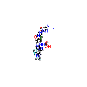 NC1CC(NC(=O)N2CCN(C(=O)c3ccc(Nc4nccn5c(-c6cn(CC(F)F)nc6C(F)(F)F)cnc45)cc3Cl)CC2)C1.O=CO